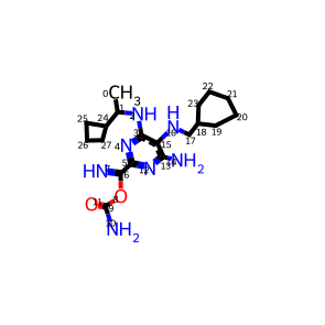 CC(Nc1nc(C(=N)OC(N)=O)nc(N)c1NCC1CCCCC1)C1CCC1